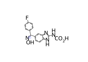 O=C(O)Nc1nc2cc(/C(=N\O)c3ccc(F)cc3)ccc2[nH]1